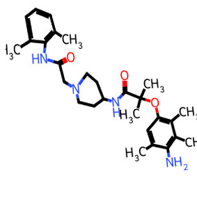 Cc1cc(OC(C)(C)C(=O)NC2CCN(CC(=O)Nc3c(C)cccc3C)CC2)c(C)c(C)c1N